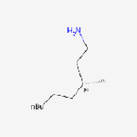 CCCCCC[C@@H](C)CCN